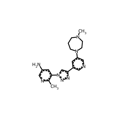 Cc1ncc(N)cc1-n1cc(-c2cncc(N3CCCN(C)CC3)c2)nn1